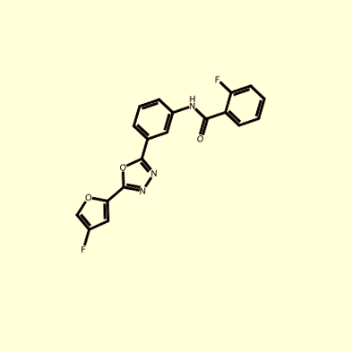 O=C(Nc1cccc(-c2nnc(-c3cc(F)co3)o2)c1)c1ccccc1F